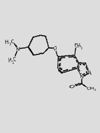 CC(=O)n1ncc2c(C)c(OC3CCC(N(C)C)CC3)ccc21